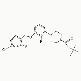 CC(C)(C)OC(=O)N1CC=C(c2nccc(OCc3ccc(Cl)cc3F)c2F)CC1